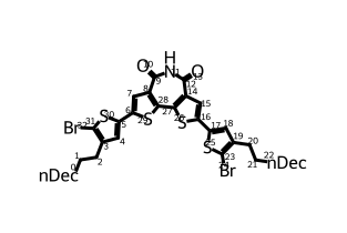 CCCCCCCCCCCCc1cc(-c2cc3c(=O)[nH]c(=O)c4cc(-c5cc(CCCCCCCCCCCC)c(Br)s5)sc4c3s2)sc1Br